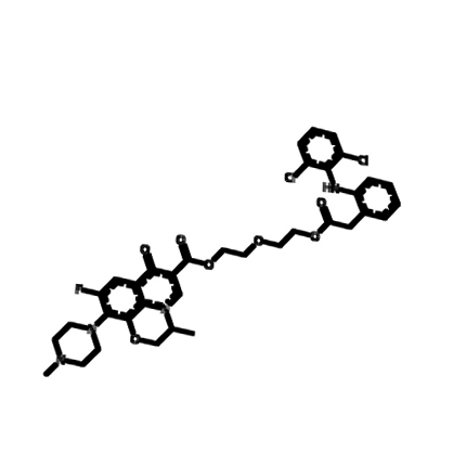 CC1COc2c(N3CCN(C)CC3)c(F)cc3c(=O)c(C(=O)OCCOCCOC(=O)Cc4ccccc4Nc4c(Cl)cccc4Cl)cn1c23